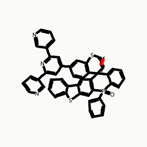 O=P1(c2ccccc2)c2ccccc2C2(c3ccccc3Sc3cc(-c4cc(-c5cccnc5)nc(-c5cccnc5)c4)ccc32)c2cc3c(cc21)sc1ccccc13